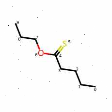 CCCCC(=S)OCCC